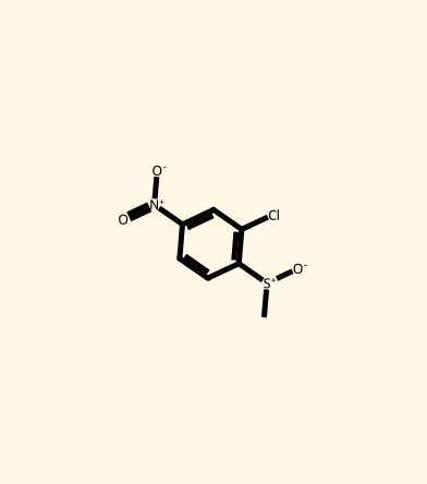 C[S+]([O-])c1ccc([N+](=O)[O-])cc1Cl